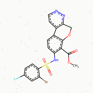 COC(=O)c1c(NS(=O)(=O)c2ccc(F)cc2Br)ccc2c1OCc1nnccc1-2